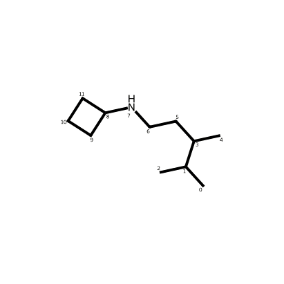 CC(C)C(C)CCNC1CCC1